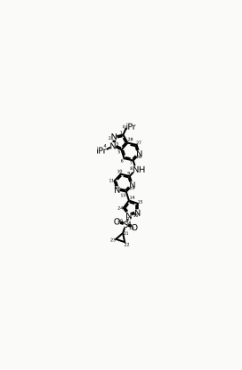 CC(C)c1nn(C(C)C)c2cc(Nc3ccnc(-c4cnn(S(=O)(=O)C5CC5)c4)n3)ncc12